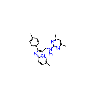 Cc1ccc(-c2nc3ccc(C)cn3c2CNc2nc(C)cc(C)n2)cc1